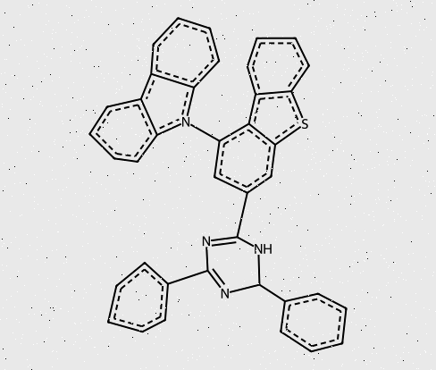 c1ccc(C2=NC(c3ccccc3)NC(c3cc(-n4c5ccccc5c5ccccc54)c4c(c3)sc3ccccc34)=N2)cc1